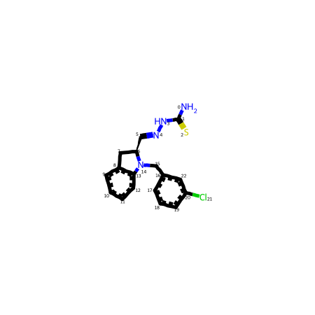 NC(=S)NN=C[C@@H]1Cc2ccccc2N1Cc1cccc(Cl)c1